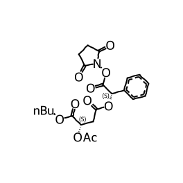 CCCCOC(=O)[C@H](CC(=O)O[C@H](C(=O)ON1C(=O)CCC1=O)c1ccccc1)OC(C)=O